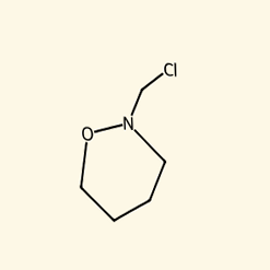 ClCN1CCCCO1